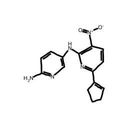 Nc1ccc(Nc2nc(C3=CCCC3)ccc2[N+](=O)[O-])cn1